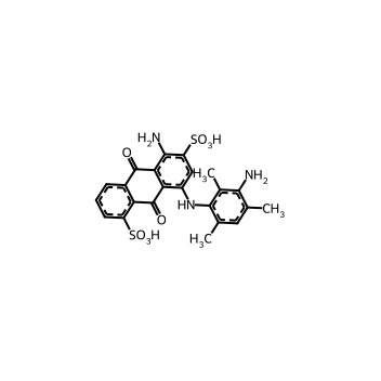 Cc1cc(C)c(Nc2cc(S(=O)(=O)O)c(N)c3c2C(=O)c2c(cccc2S(=O)(=O)O)C3=O)c(C)c1N